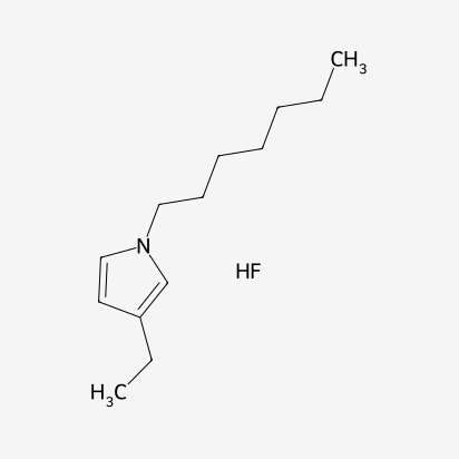 CCCCCCCn1ccc(CC)c1.F